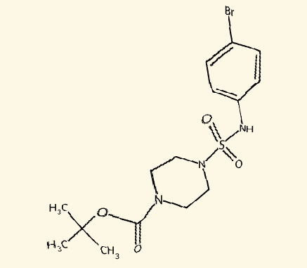 CC(C)(C)OC(=O)N1CCN(S(=O)(=O)Nc2ccc(Br)cc2)CC1